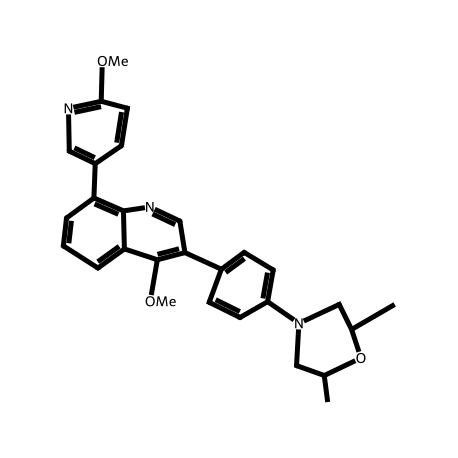 COc1ccc(-c2cccc3c(OC)c(-c4ccc(N5CC(C)OC(C)C5)cc4)cnc23)cn1